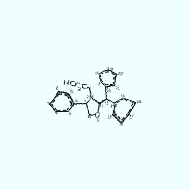 O=C(O)CN1C(c2ccccc2)COC1C(c1ccccc1)c1ccccc1